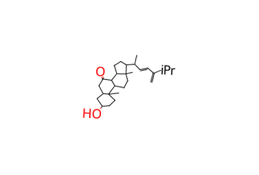 C=C(/C=C/C(C)C1CCC2C3C(=O)CC4CC(O)CCC4(C)C3CCC12C)C(C)C